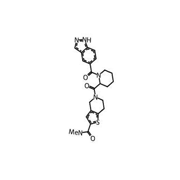 CNC(=O)c1cc2c(s1)CCN(C(=O)C1CCCCN1C(=O)c1ccc3[nH]ncc3c1)C2